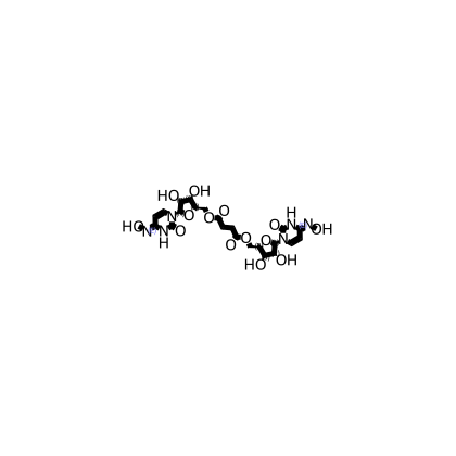 O=C(CCC(=O)OC[C@H]1O[C@@H](n2cc/c(=N\O)[nH]c2=O)[C@H](O)[C@@H]1O)OC[C@H]1O[C@@H](n2cc/c(=N\O)[nH]c2=O)[C@H](O)[C@@H]1O